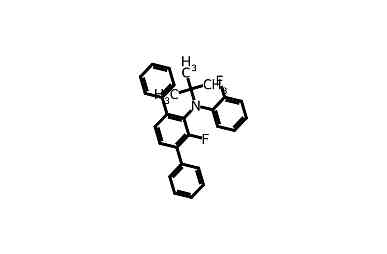 CC(C)(C)N(c1ccccc1F)c1c(-c2ccccc2)ccc(-c2ccccc2)c1F